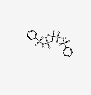 O=S(=O)(CC(F)(F)S(=O)(=O)NS(=O)(=O)c1ccccc1)NS(=O)(=O)c1ccccc1